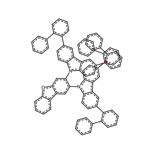 c1ccc(-c2ccccc2-c2ccc3c(c2)c2cc(-c4ccccc4-c4ccccc4)ccc2n3-c2cc3oc4ccccc4c3cc2-n2c3ccc(-c4ccccc4-c4ccccc4)cc3c3cc(-c4ccccc4-c4ccccc4)ccc32)cc1